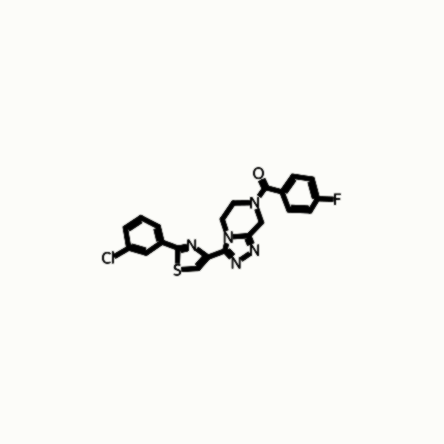 O=C(c1ccc(F)cc1)N1CCn2c(nnc2-c2csc(-c3cccc(Cl)c3)n2)C1